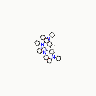 C=C/C=C(\C=C(\c1cc(N(c2ccccc2)c2ccccc2)ccc1-c1ccc(N(c2ccccc2)c2ccccc2)cc1C)N(c1ccccc1)c1ccccc1)N(c1ccccc1)c1ccccc1